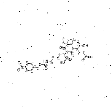 CCC1(CC)C(=O)N(C(CCC(=O)O)C(=O)O)C(=O)N([C@@H](CCCCNC(=O)OCc2ccc([N+](=O)[O-])cc2)C(=O)O)C1=O